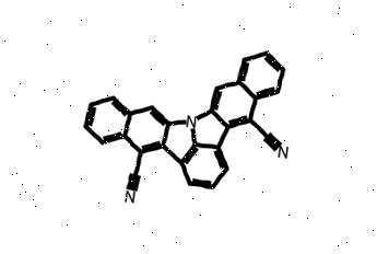 N#Cc1c2ccccc2cc2c1c1cccc3c4c(C#N)c5ccccc5cc4n2c13